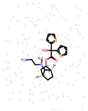 CN(CCN)C1[C@H]2CC[C@@H]1[C@H](OC(=O)C(O)(c1cccs1)c1cccs1)C2